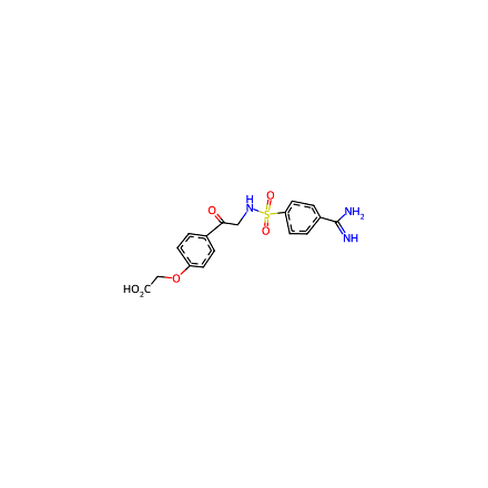 N=C(N)c1ccc(S(=O)(=O)NCC(=O)c2ccc(OCC(=O)O)cc2)cc1